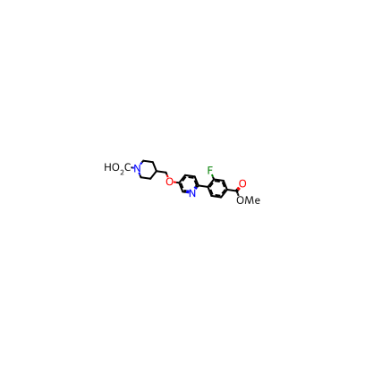 COC(=O)c1ccc(-c2ccc(OCC3CCN(C(=O)O)CC3)cn2)c(F)c1